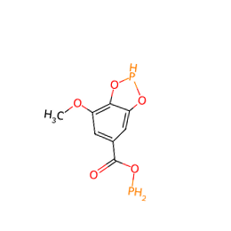 COc1cc(C(=O)OP)cc2c1OPO2